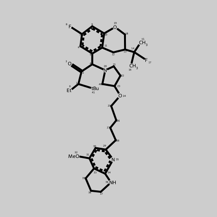 CCC(C(=O)C(c1cc(F)cc2c1CC(C(C)(C)F)CO2)N1CCC(OCCCCc2cc(OC)c3c(n2)NCCC3)C1)C(C)(C)C